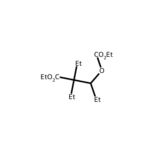 CCOC(=O)OC(CC)C(CC)(CC)C(=O)OCC